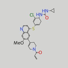 C=CC(=O)N1CC=C(c2cc3c(SC4=CCC(NC(=O)NC5CC5)C(Cl)=C4)ccnc3cc2OC)CC1